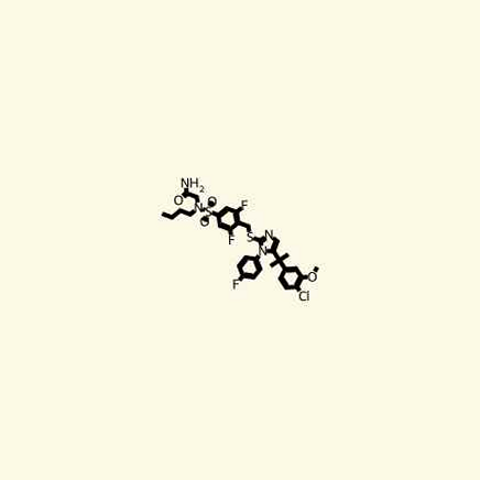 CCCCN(CC(N)=O)S(=O)(=O)c1cc(F)c(CSc2ncc(C(C)(C)c3ccc(Cl)c(OC)c3)n2-c2ccc(F)cc2)c(F)c1